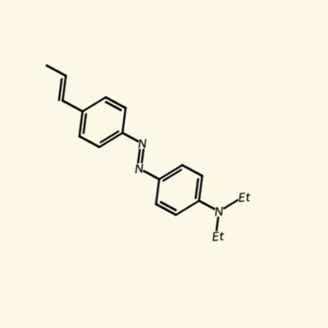 CC=Cc1ccc(N=Nc2ccc(N(CC)CC)cc2)cc1